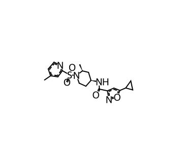 Cc1ccnc(S(=O)(=O)N2CC[C@H](NC(=O)c3cc(C4CC4)on3)C[C@@H]2C)c1